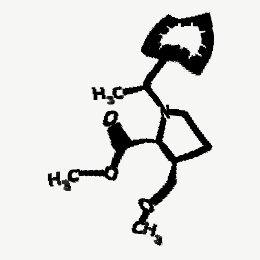 COC[C@@H]1CCN([C@@H](C)c2ccccc2)[C@@H]1C(=O)OC